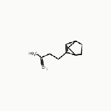 C=C(CCC1=CC2CCC1C2)C(=O)O